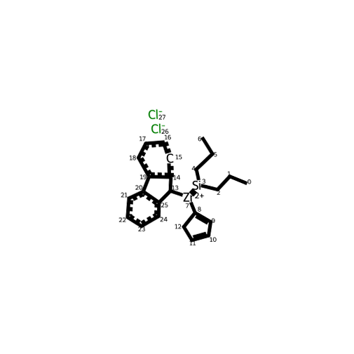 CCC[Si](CCC)=[Zr+2]([C]1=CC=CC1)[CH]1c2ccccc2-c2ccccc21.[Cl-].[Cl-]